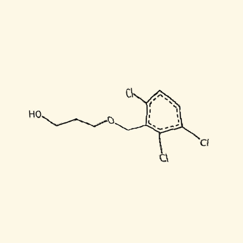 OCCCOCc1c(Cl)ccc(Cl)c1Cl